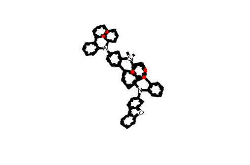 C[Si]1(C)c2cc(N(c3ccccc3)c3ccccc3-c3ccccc3)ccc2-c2ccc(N(c3ccc4c(c3)oc3ccccc34)c3ccccc3-c3ccccc3)c3cccc1c23